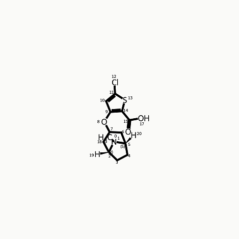 CN1[C@@H]2CC[C@H]1CC(Oc1cc(Cl)sc1C(=O)O)C2